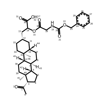 CC(=O)[C@H]1CC[C@H]2[C@@H]3CC[C@H]4C[C@@H](CC(OC(=O)CNC(=O)OCc5ccccc5)C(=O)O)CC[C@]4(C)[C@H]3CC[C@]12C